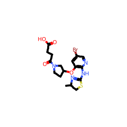 CC1CSC(Nc2ncc(Br)cc2OC2CCN(C(=O)CCC(=O)O)C2)=N1